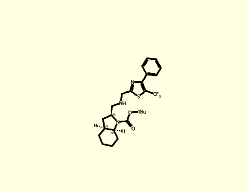 CC(C)(C)OC(=O)N1[C@H](CNCc2nc(-c3ccccc3)c(C(F)(F)F)s2)C[C@@H]2CCCC[C@@H]21